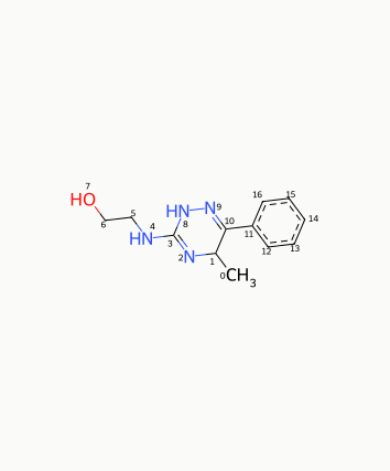 CC1N=C(NCCO)NN=C1c1ccccc1